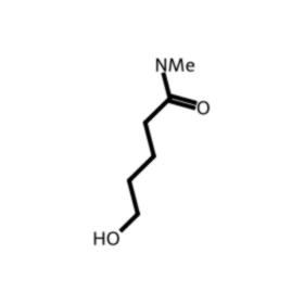 CNC(=O)CCCCO